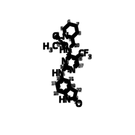 CS(=O)(=O)N1CCCCC1CNc1nc(Nc2ccc3c(c2)CC(=O)N3)ncc1C(F)(F)F